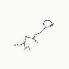 CC(C)/C(N)=N/C(=O)OCc1ccccc1